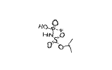 CC(C)OS(=O)(=O)NP(=O)(O)F